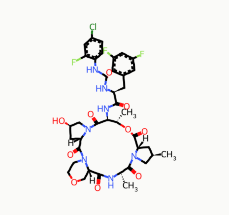 C[C@@H]1C[C@H]2C(=O)O[C@@H](C)[C@H](NC(=O)[C@H](Cc3cc(F)cc(F)c3)NC(=O)Nc3ccc(Cl)cc3F)C(=O)N3C[C@H](O)C[C@H]3C(=O)N3CCOC[C@H]3C(=O)N[C@@H](C)C(=O)N2C1